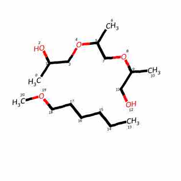 CC(O)COC(C)COC(C)CO.CCCCCCOC